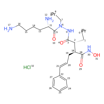 CC(C)C[C@@H](C(=O)NN(CC(C)C)C(=O)[C@@H](N)CCCCN)[C@H](CC=Cc1ccccc1)C(=O)NO.Cl